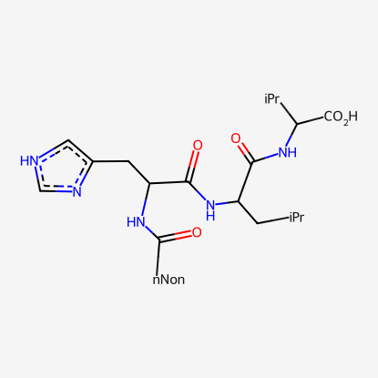 CCCCCCCCCC(=O)NC(Cc1c[nH]cn1)C(=O)NC(CC(C)C)C(=O)NC(C(=O)O)C(C)C